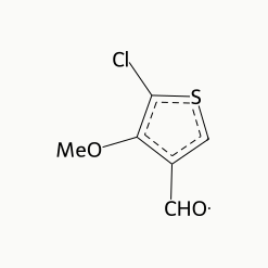 COc1c([C]=O)csc1Cl